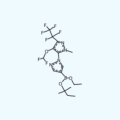 CCOB(OC(C)(C)CC)c1cnn(-c2c(OC(F)F)c(C(F)(F)C(F)(F)F)nn2C)c1